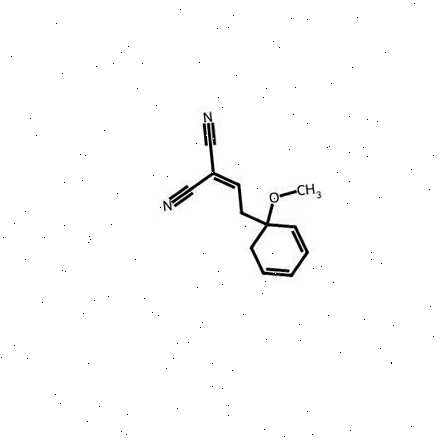 COC1(CC=C(C#N)C#N)C=CC=CC1